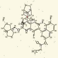 C=CC(=O)Oc1cc(-c2ncc3c(C4CC5CCC(C4)N5C(O)C=C)nc(OC[C@@]45CCCN4C[C@H](F)C5)nc3c2F)c2c(F)c(F)ccc2c1